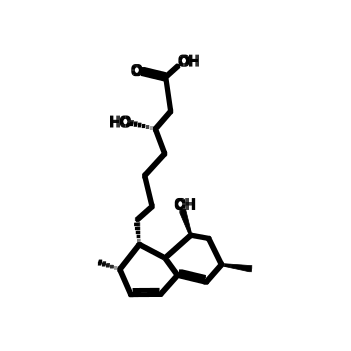 C[C@H]1C=C2C=C[C@H](C)[C@H](CCCC[C@H](O)CC(=O)O)C2[C@@H](O)C1